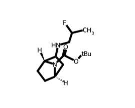 CC(F)CNC1C[C@H]2CC[C@H]1N2C(=O)OC(C)(C)C